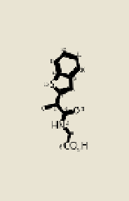 CC(C(=O)NCC(=O)O)c1cc2ccccc2s1